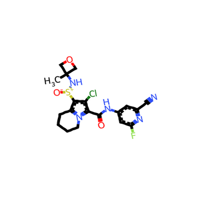 CC1(N[S+]([O-])c2c(Cl)c(C(=O)Nc3cc(F)nc(C#N)c3)n3c2CCCC3)COC1